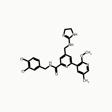 COc1ncc(C)cc1-c1cc(CNC2=NCCN2)cc(C(=O)NCc2ccc(Cl)c(Cl)c2)n1